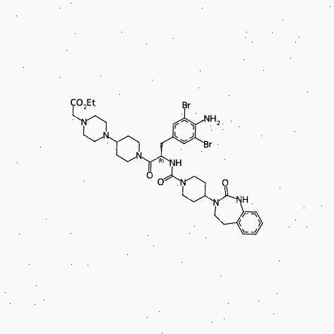 CCOC(=O)CN1CCN(C2CCN(C(=O)[C@@H](Cc3cc(Br)c(N)c(Br)c3)NC(=O)N3CCC(N4CCc5ccccc5NC4=O)CC3)CC2)CC1